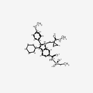 CCS(=O)(=O)NC(=O)c1ccc2c(C3CCCCC3)c(-c3ccc(OC)cc3)n(CC3(C(=O)OC)CC3)c2c1